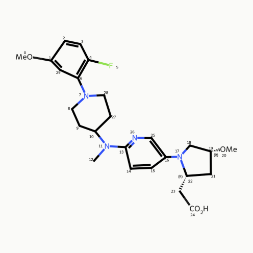 COc1ccc(F)c(N2CCC(N(C)c3ccc(N4C[C@H](OC)C[C@@H]4CC(=O)O)cn3)CC2)c1